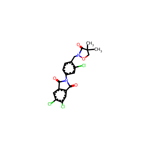 CC1(C)CON(Cc2ccc(N3C(=O)c4cc(Cl)c(Cl)cc4C3=O)cc2Cl)C1=O